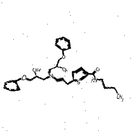 CCCCNC(=O)c1ccc(CCCN(C[C@H](O)COc2ccccc2)C[C@H](O)COc2ccccc2)s1